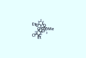 CCOc1cccc(OC(=O)OC)c1COc1cc(Cl)c(CC)cc1C(F)(F)F